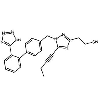 CCC#Cc1nc(CCS)nn1Cc1ccc(-c2ccccc2-c2nnn[nH]2)cc1